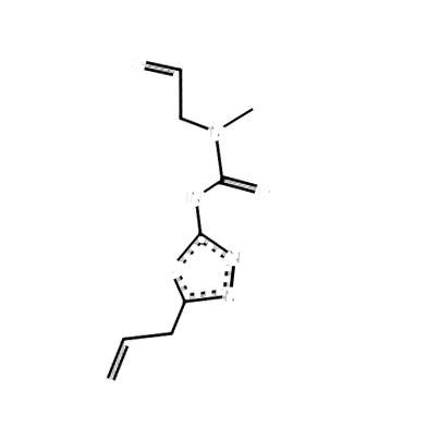 C=CCc1nnc(NC(=O)N(C)CC=O)s1